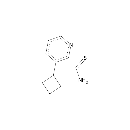 NC=S.c1cncc(C2CCC2)c1